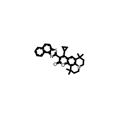 CC1(C)CCN2CCC(C)(C)c3c2c1cc1c(C2CC2)c(-c2nc4c(ccc5ccccc54)s2)c(=O)oc31